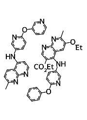 CCOC(=O)c1cnc2nc(C)c(OCC)cc2c1Nc1ccc(Oc2ccccc2)nc1.Cc1ccc2c(Nc3ccc(Oc4cccnc4)nc3)ccnc2n1